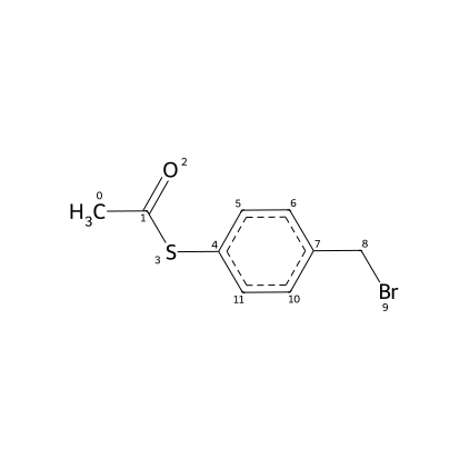 CC(=O)Sc1ccc(CBr)cc1